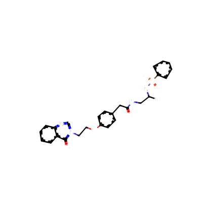 CC(CNC(=O)Cc1ccc(OCCn2cnc3ccccc3c2=O)cc1)NS(=O)(=O)c1ccccc1